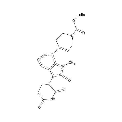 CCCCOC(=O)N1CC=C(c2cccc3c2n(C)c(=O)n3C2CCC(=O)NC2=O)CC1